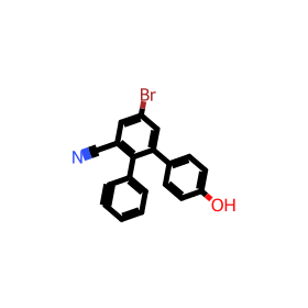 N#Cc1cc(Br)cc(-c2ccc(O)cc2)c1-c1c#cccc1